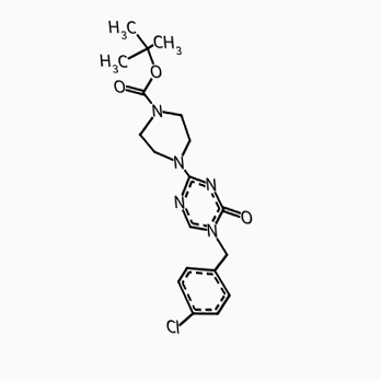 CC(C)(C)OC(=O)N1CCN(c2ncn(Cc3ccc(Cl)cc3)c(=O)n2)CC1